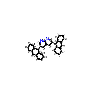 c1ccc2c(-c3cnc4ncc(-c5c6ccccc6cc6ccccc56)cc4c3)c3ccccc3cc2c1